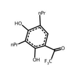 CCCc1cc(C(=O)C(F)(F)F)c(O)c(CCC)c1O